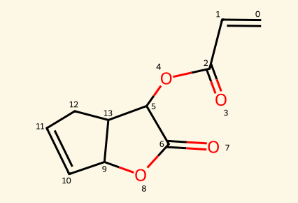 C=CC(=O)OC1C(=O)OC2C=CCC21